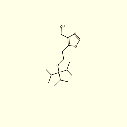 CC(C)[Si](OCCc1scnc1CO)(C(C)C)C(C)C